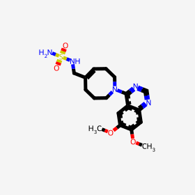 COc1cc2ncnc(N3CCC=C(CNS(N)(=O)=O)CCC3)c2cc1OC